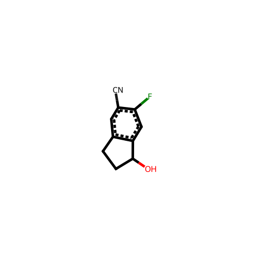 N#Cc1cc2c(cc1F)C(O)CC2